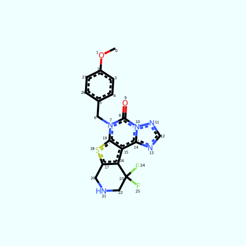 COc1ccc(Cn2c(=O)n3ncnc3c3c4c(sc32)CNCC4(F)F)cc1